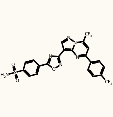 NS(=O)(=O)c1ccc(-c2nc(-c3cnn4c(C(F)(F)F)cc(-c5ccc(C(F)(F)F)cc5)nc34)no2)cc1